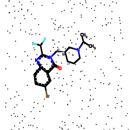 CC(C)N1CCC[C@H](Cn2c(C(F)F)nc3ccc(Br)cc3c2=O)C1